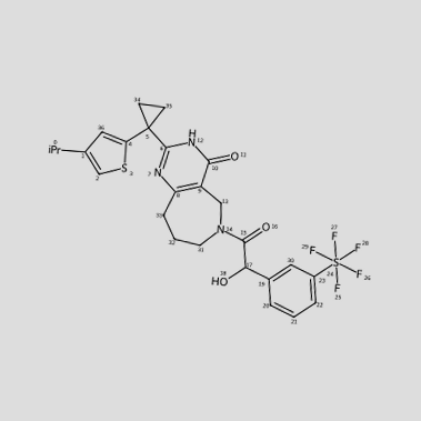 CC(C)c1csc(C2(c3nc4c(c(=O)[nH]3)CN(C(=O)C(O)c3cccc(S(F)(F)(F)(F)F)c3)CCC4)CC2)c1